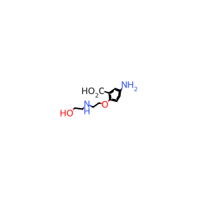 Nc1ccc(OCCNCCO)c(C(=O)O)c1